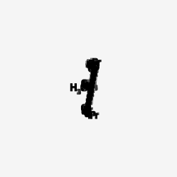 CC(C)CC(CC(C)C)OC(=O)CCCCCCCCCN(CCCCCCCCCC(=O)OC(CC(C)C)CC(C)C)CCN(C)C